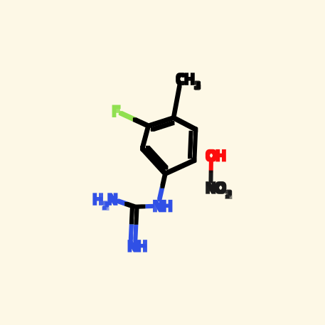 Cc1ccc(NC(=N)N)cc1F.O=[N+]([O-])O